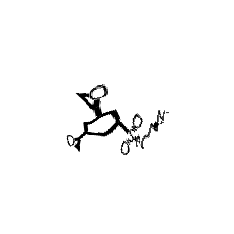 [N-]=[N+]=NS(=O)(=O)C1CC(C2CO2)CC(C2CO2)C1